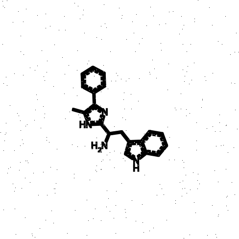 Cc1[nH]c(C(N)Cc2c[nH]c3ccccc23)nc1-c1ccccc1